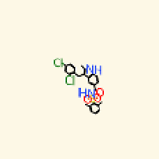 Cc1cccc(C)c1S(=O)(=O)NC(=O)c1ccc2[nH]c(C)c(Cc3ccc(Cl)cc3Cl)c2c1